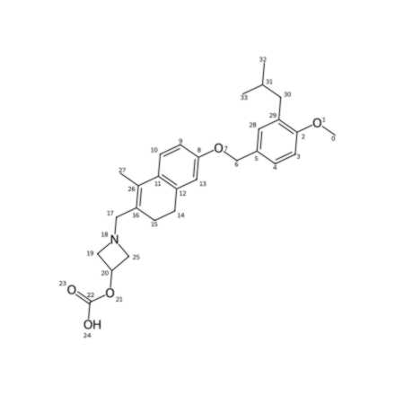 COc1ccc(COc2ccc3c(c2)CCC(CN2CC(OC(=O)O)C2)=C3C)cc1CC(C)C